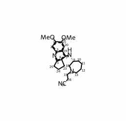 COc1cc2nc3c(c(N[C@@H]4CCCCN(CCC#N)C4)c2cc1OC)CCC3